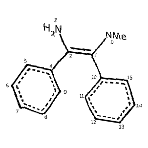 CN/C(=C(\N)c1ccccc1)c1ccccc1